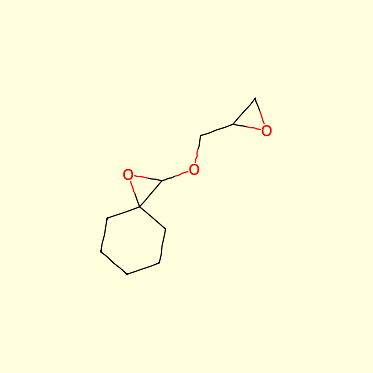 C1CCC2(CC1)OC2OCC1CO1